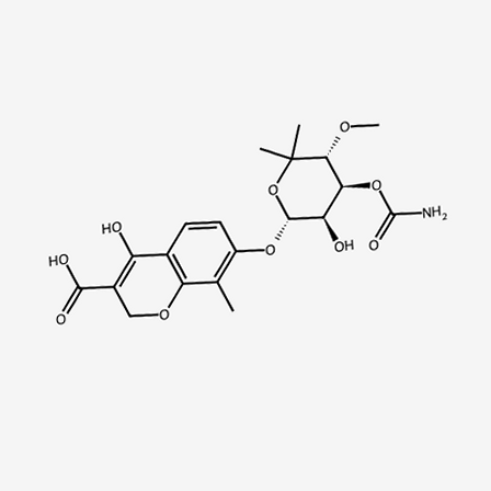 CO[C@@H]1[C@@H](OC(N)=O)[C@@H](O)[C@H](Oc2ccc3c(c2C)OCC(C(=O)O)=C3O)OC1(C)C